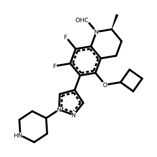 C[C@H]1CCc2c(OC3CCC3)c(-c3cnn(C4CCNCC4)c3)c(F)c(F)c2N1C=O